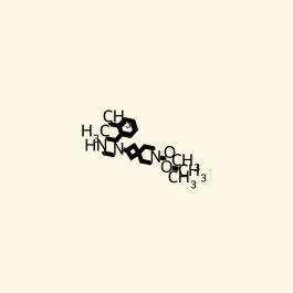 CC(C)c1ccccc1C1CNCCN1C1CC2(CCN(C(=O)OC(C)(C)C)CC2)C1